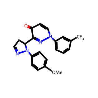 COc1ccc(N2N=CCC2c2nn(-c3cccc(C(F)(F)F)c3)ccc2=O)cc1